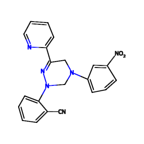 N#Cc1ccccc1N1CN(c2cccc([N+](=O)[O-])c2)CC(c2ccccn2)=N1